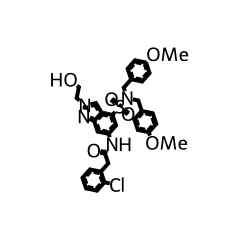 COc1ccc(CN(Cc2ccc(OC)cc2)S(=O)(=O)c2cc(NC(=O)Cc3ccccc3Cl)cc3nn(CCO)cc23)cc1